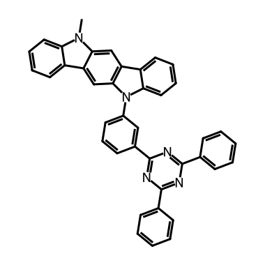 Cn1c2ccccc2c2cc3c(cc21)c1ccccc1n3-c1cccc(-c2nc(-c3ccccc3)nc(-c3ccccc3)n2)c1